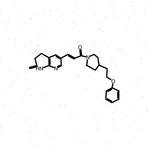 C=C1CCc2cc(/C=C/C(=O)N3CCC(CCOc4ccccc4)CC3)cnc2N1